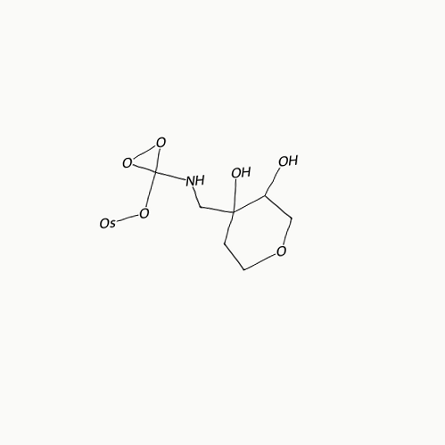 OC1COCCC1(O)CNC1([O][Os])OO1